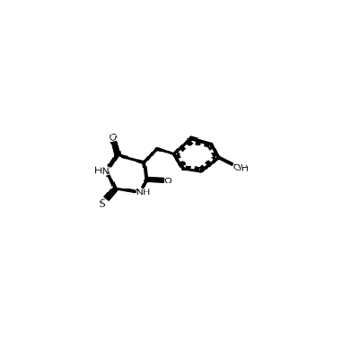 O=C1NC(=S)NC(=O)C1Cc1ccc(O)cc1